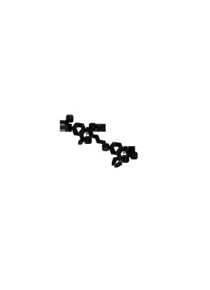 CCC1(CC)OC(=O)Nc2ccc(OCCCC=[N+](OS)c3ccc(NC(C)=O)cc3C(C)=O)cc21